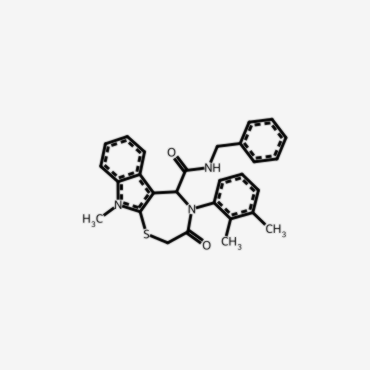 Cc1cccc(N2C(=O)CSc3c(c4ccccc4n3C)C2C(=O)NCc2ccccc2)c1C